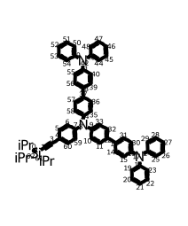 CC(C)[Si](C#Cc1ccc(N(c2ccc(-c3ccc(N(c4ccccc4)c4ccccc4)cc3)cc2)c2ccc(-c3ccc(N(c4ccccc4)c4ccccc4)cc3)cc2)cc1)(C(C)C)C(C)C